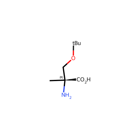 CC(C)(C)OC[C@@](C)(N)C(=O)O